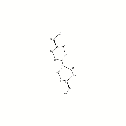 CC[C@H]1CC[C@H]([C@H]2CC[C@H](CCl)CC2)CC1